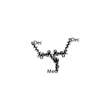 CCCCCCCCCCCCCCCCSCC(C)C(=O)OCCOC(=O)CCN(CCC(=O)OCCOC(=O)C(C)CSCCCCCCCCCCCCCCCC)Cc1cn(CCOCCOC)nn1